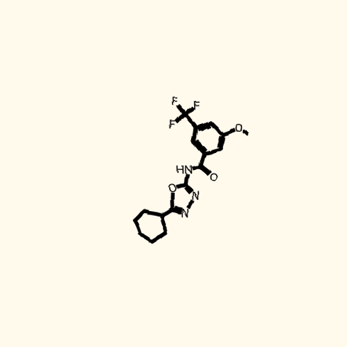 COc1cc(C(=O)Nc2nnc(C3CCCCC3)o2)cc(C(F)(F)F)c1